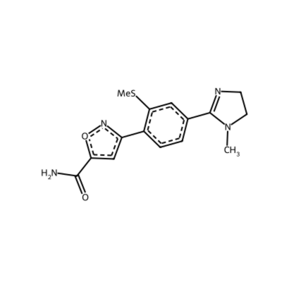 CSc1cc(C2=NCCN2C)ccc1-c1cc(C(N)=O)on1